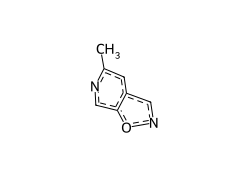 Cc1cc2cnoc2cn1